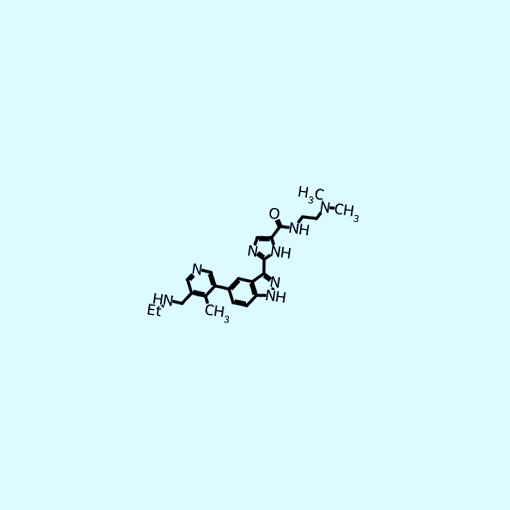 CCNCc1cncc(-c2ccc3[nH]nc(-c4ncc(C(=O)NCCN(C)C)[nH]4)c3c2)c1C